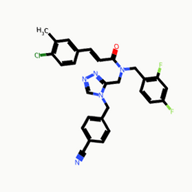 Cc1cc(/C=C/C(=O)N(Cc2ccc(F)cc2F)Cc2nncn2Cc2ccc(C#N)cc2)ccc1Cl